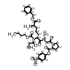 CCCCOC(=O)N(C(=O)CN)[C@@H](CCCC(N)C(=O)OCc1ccccc1)C(=O)N(C)CC(=O)N1CCC[C@H]1C(=O)Oc1ccc([N+](=O)[O-])cc1